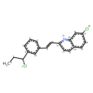 [CH2]C[C@H](Cl)c1cccc(/C=C/c2ccc3ccc(Cl)cc3n2)c1